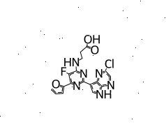 O=C(O)CCNc1nc(-c2c[nH]c3ncc(Cl)nc23)nc(-c2ccco2)c1F